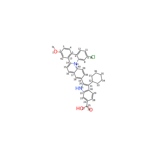 COc1ccc(-c2ccc(Cl)cc2)c(-c2ccc3cc(-c4[nH]c5cc(C(=O)O)ccc5c4C4CCCCC4)ccc3n2)c1